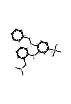 CN(C)Cc1ccccc1Pc1cc([Si](C)(C)C)ccc1OCc1ccccc1